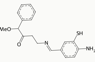 COC(C(=O)CC/N=C/c1ccc(N)c(S)c1)c1ccccc1